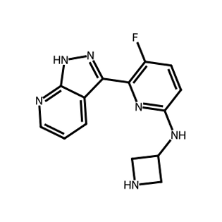 Fc1ccc(NC2CNC2)nc1-c1n[nH]c2ncccc12